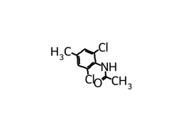 CC(=O)Nc1c(Cl)cc(C)cc1Cl